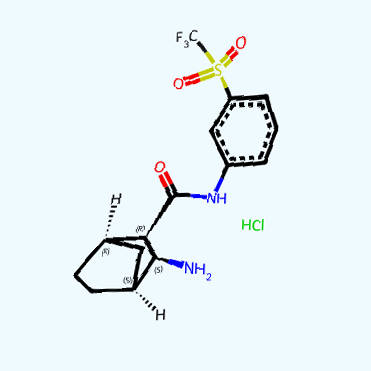 Cl.N[C@H]1[C@H]2CC[C@H](C2)[C@H]1C(=O)Nc1cccc(S(=O)(=O)C(F)(F)F)c1